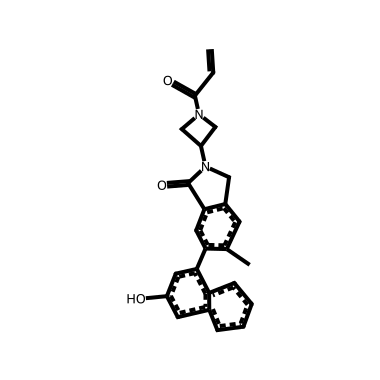 C=CC(=O)N1CC(N2Cc3cc(C)c(-c4cc(O)cc5ccccc45)cc3C2=O)C1